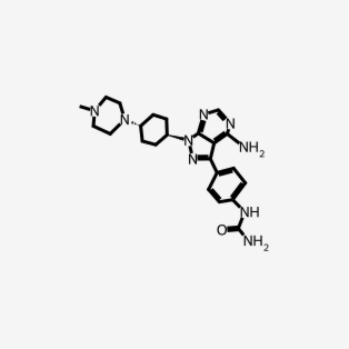 CN1CCN([C@H]2CC[C@H](n3nc(-c4ccc(NC(N)=O)cc4)c4c(N)ncnc43)CC2)CC1